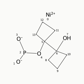 [Ni+2].[O-]P([O-])OC1(C2(O)CCC2)CCC1